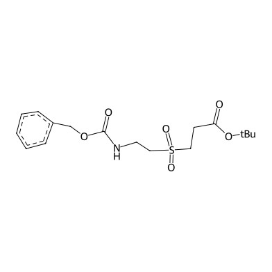 CC(C)(C)OC(=O)CCS(=O)(=O)CCNC(=O)OCc1ccccc1